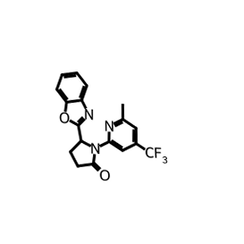 Cc1cc(C(F)(F)F)cc(N2C(=O)CCC2c2nc3ccccc3o2)n1